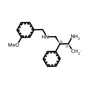 [CH2][C@H](N)[C@H](CNCc1cccc(OC)c1)c1ccccc1